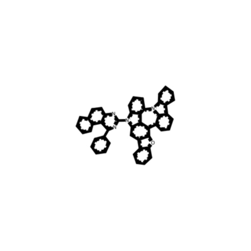 c1ccc(-c2nc(-n3c4cc5c6ccccc6oc5c5c6cccc7c8ccccc8n(c8cccc3c8c54)c76)nc3ccc4ccccc4c23)cc1